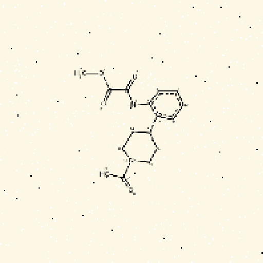 COC(=O)C(=O)Nc1ccccc1C1CCN(C(=O)O)CC1